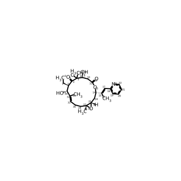 CC[C@H]1C(=O)C(C)(C)[C@@H](O)CC(=O)O[C@H](C(C)=Cc2ccccn2)C[C@@H]2O[C@]2(C)CC/C=C(\C)[C@@H]1O